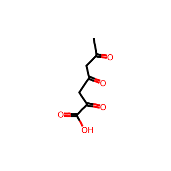 CC(=O)CC(=O)CC(=O)C(=O)O